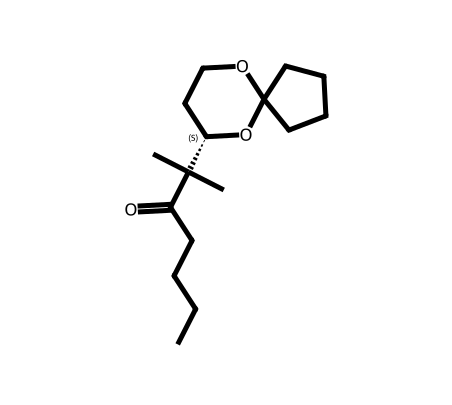 CCCCC(=O)C(C)(C)[C@@H]1CCOC2(CCCC2)O1